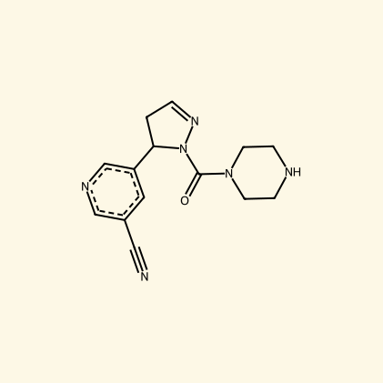 N#Cc1cncc(C2CC=NN2C(=O)N2CCNCC2)c1